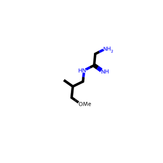 COCC(C)CNC(=N)CN